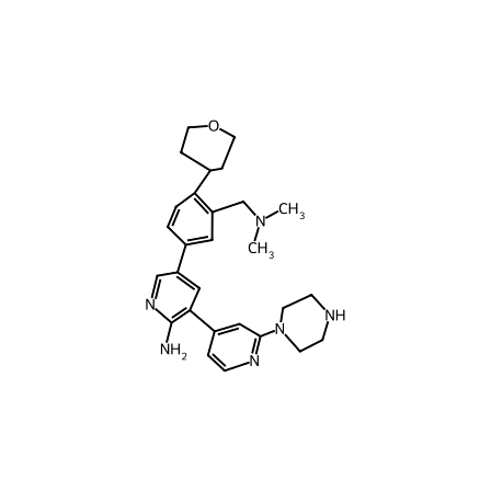 CN(C)Cc1cc(-c2cnc(N)c(-c3ccnc(N4CCNCC4)c3)c2)ccc1C1CCOCC1